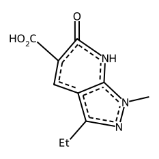 CCc1nn(C)c2[nH]c(=O)c(C(=O)O)cc12